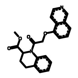 COC(=O)C1CCc2ccccc2N1C(=O)COc1cccc2cnccc12